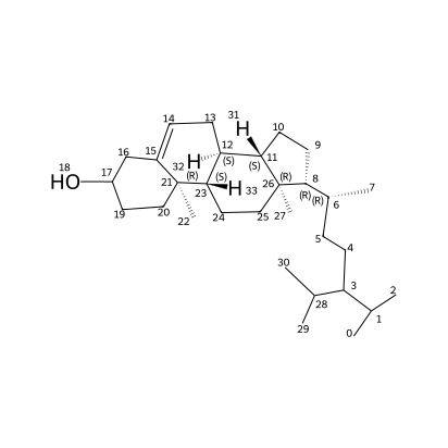 CC(C)C(CC[C@@H](C)[C@H]1CC[C@H]2[C@@H]3CC=C4CC(O)CC[C@]4(C)[C@H]3CC[C@]12C)C(C)C